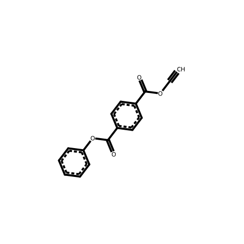 C#COC(=O)c1ccc(C(=O)Oc2ccccc2)cc1